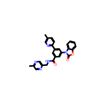 Cc1ccc(-c2cc(C(=O)NCc3cnc(C)cn3)cc(-n3c(=O)oc4ccccc43)c2)nc1